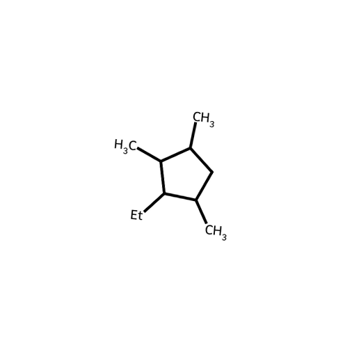 CCC1C(C)CC(C)C1C